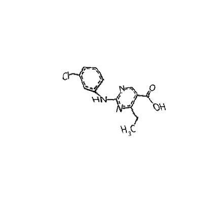 CCc1nc(Nc2cccc(Cl)c2)ncc1C(=O)O